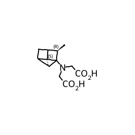 C[C@@H]1C2CC3CC1(N(CC(=O)O)CC(=O)O)[C@@]32C